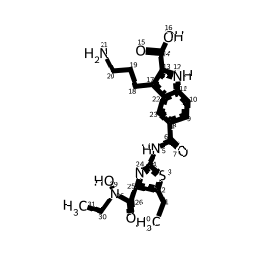 CCc1sc(NC(=O)c2ccc3[nH]c(C(=O)O)c(CCCN)c3c2)nc1C(=O)N(O)CC